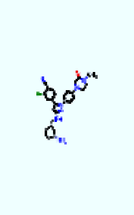 CN1CCN(c2ccc(-n3nc(NC[C@H]4CCC[C@H](N)C4)cc3-c3ccc(C#N)c(F)c3)cc2)CC1=O